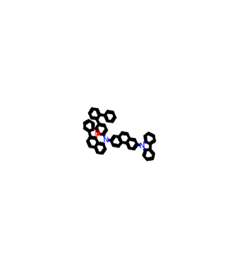 c1ccc(-c2ccccc2-c2ccc(N(c3ccc4c(ccc5cc(-n6c7ccccc7c7ccccc76)ccc54)c3)c3cccc4ccc5c6ccccc6oc5c34)cc2)cc1